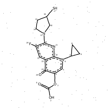 O=C(O)Oc1cn(C2CC2)c2nc(N3CCC(S)C3)c(F)cc2c1=O